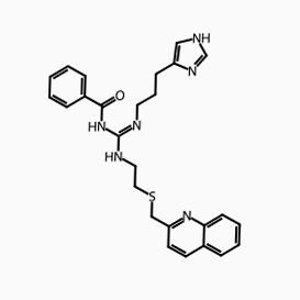 O=C(NC(=NCCCc1c[nH]cn1)NCCSCc1ccc2ccccc2n1)c1ccccc1